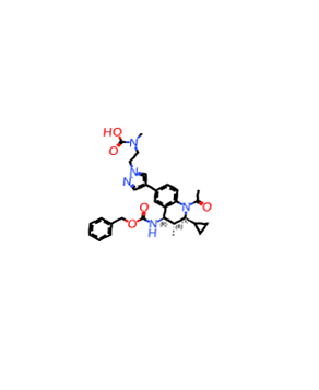 CC(=O)N1c2ccc(-c3cnn(CCN(C)C(=O)O)c3)cc2[C@H](NC(=O)OCc2ccccc2)[C@@H](C)[C@@H]1C1CC1